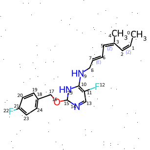 C\C=C/C(C)=C\C=C\CNC1=C(F)C=NC(OCc2ccc(F)cc2)N1